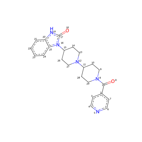 O=C(c1ccncc1)N1CCC(N2CCC(n3c(=O)[nH]c4ccccc43)CC2)CC1